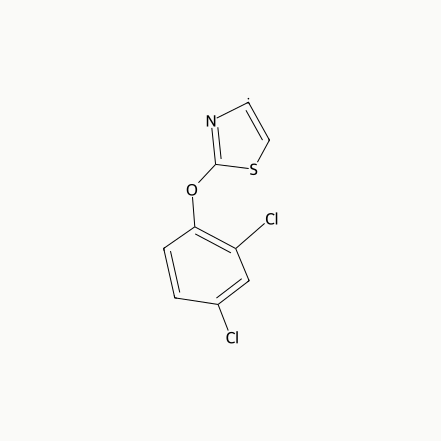 Clc1ccc(Oc2n[c]cs2)c(Cl)c1